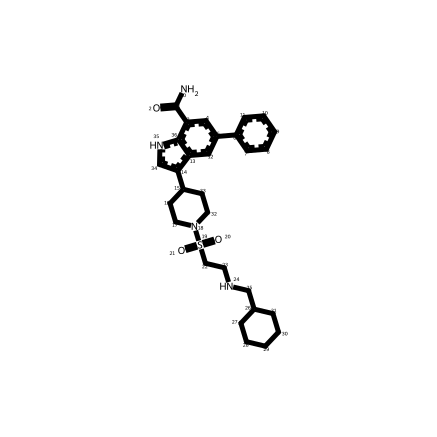 NC(=O)c1cc(-c2ccccc2)cc2c(C3CCN(S(=O)(=O)CCNCC4CCCCC4)CC3)c[nH]c12